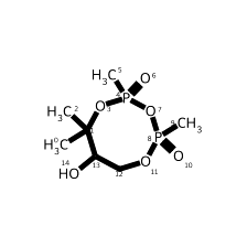 CC1(C)OP(C)(=O)OP(C)(=O)OCC1O